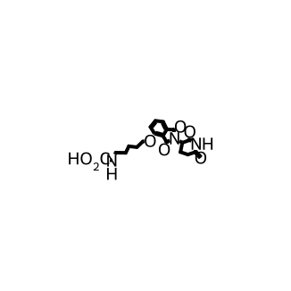 O=C(O)NCCCCCOc1cccc2c1C(=O)N(C1CCC(=O)NC1=O)C2=O